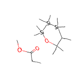 CC1C(C)(C)O[Si](C)(C)[Si](C)(C)[Si]1(C)C.CCC(=O)OC